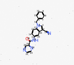 N#Cc1cn(Cc2ccccc2)c2ccc(NC(=O)c3cnccn3)cc12